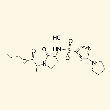 CCCOC(=O)C(C)N1CCC(NS(=O)(=O)c2cnc(N3CCCC3)s2)C1=O.Cl